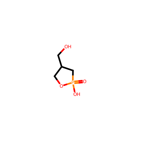 O=P1(O)CC(CO)CO1